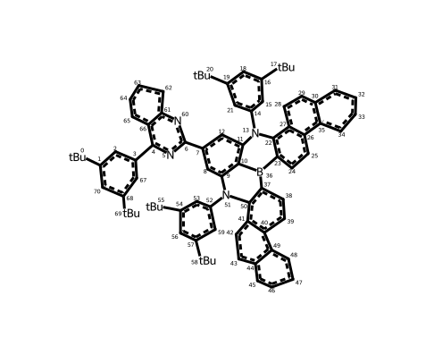 CC(C)(C)c1cc(-c2nc(-c3cc4c5c(c3)N(c3cc(C(C)(C)C)cc(C(C)(C)C)c3)c3c(ccc6c3ccc3ccccc36)B5c3ccc5c(ccc6ccccc65)c3N4c3cc(C(C)(C)C)cc(C(C)(C)C)c3)nc3ccccc23)cc(C(C)(C)C)c1